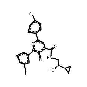 O=C(NC[C@H](O)C1CC1)c1cc(-c2ccc(Cl)cc2)nn(-c2cccc(F)c2)c1=O